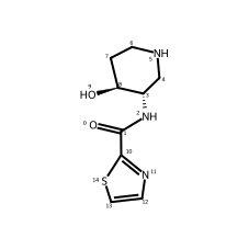 O=C(N[C@H]1CNCC[C@@H]1O)c1nccs1